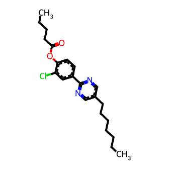 CCCCCCCc1cnc(-c2ccc(OC(=O)CCCC)c(Cl)c2)nc1